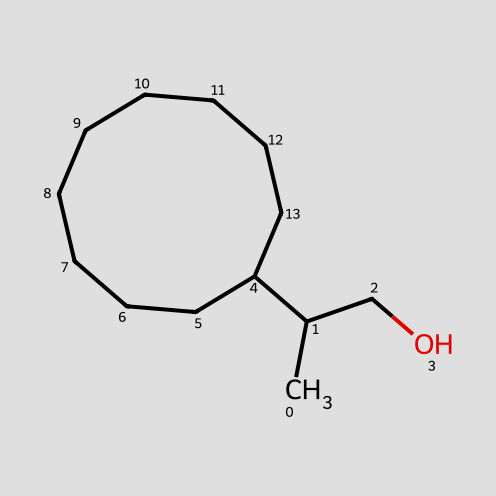 CC(CO)C1CCCCCCCCC1